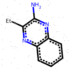 CCc1nc2ccccc2nc1N